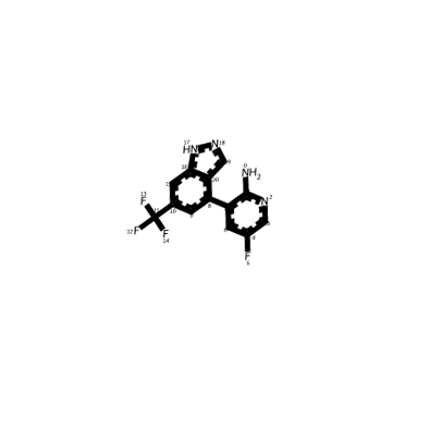 Nc1ncc(F)cc1-c1cc(C(F)(F)F)cc2[nH]ncc12